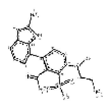 N=C(N)c1c(-c2cccc3nc(N)[nH]c23)ccc([S+]([O-])CCN)c1S(N)(=O)=O